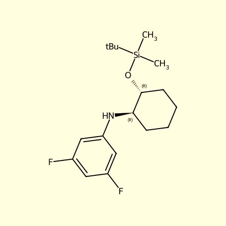 CC(C)(C)[Si](C)(C)O[C@@H]1CCCC[C@H]1Nc1cc(F)cc(F)c1